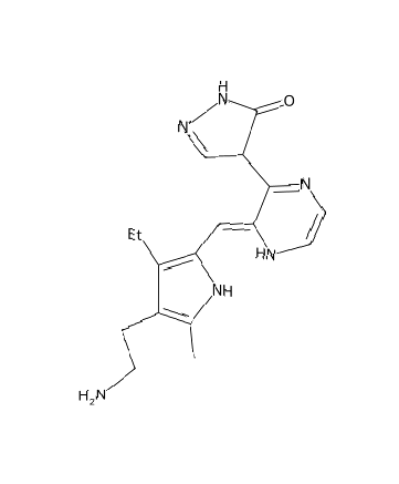 CCc1c(C=C2NC=CN=C2C2C=NNC2=O)[nH]c(C)c1CCN